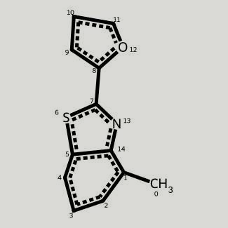 Cc1cccc2sc(-c3ccco3)nc12